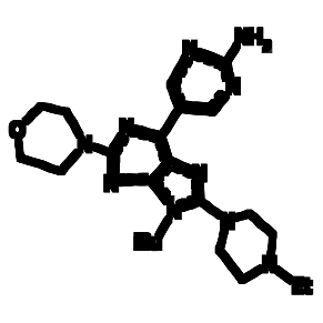 CCC(C)n1c(N2CCN(CC)CC2)nc2c(-c3cnc(N)nc3)nc(N3CCOCC3)nc21